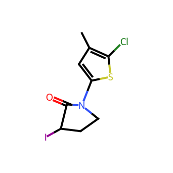 Cc1cc(N2CCC(I)C2=O)sc1Cl